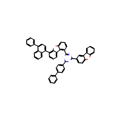 c1ccc(-c2ccc(C3N=C(c4ccc5oc6ccccc6c5c4)N=C(c4cccc5oc6c(-c7ccc(-c8ccccc8)c8ccccc78)cccc6c45)N3)cc2)cc1